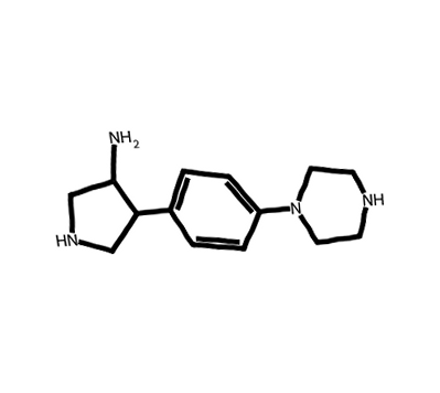 NC1CNCC1c1ccc(N2CCNCC2)cc1